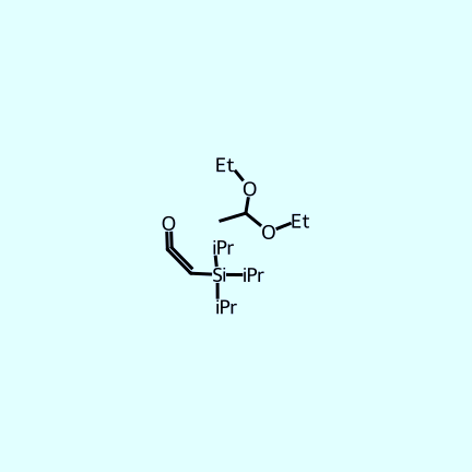 CC(C)[Si](C=C=O)(C(C)C)C(C)C.CCOC(C)OCC